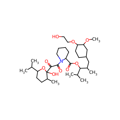 COC1CC(CC(C)C(OC(=O)C2CCCCN2C(=O)C(=O)C2(O)OC(C(C)C)CCC2C)C(C)C)CCC1OCCO